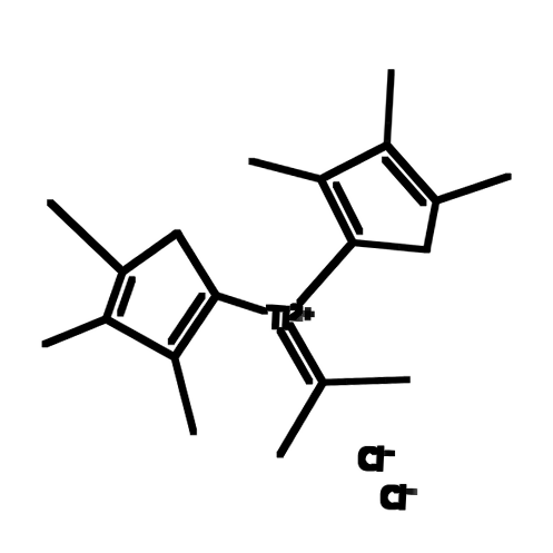 CC1=C(C)C(C)=[C]([Ti+2]([C]2=C(C)C(C)=C(C)C2)=[C](C)C)C1.[Cl-].[Cl-]